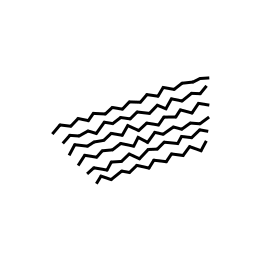 CCCCCCCCCCCCCC.CCCCCCCCCCCCCCC.CCCCCCCCCCCCCCCC.CCCCCCCCCCCCCCCCC.CCCCCCCCCCCCCCCCCC.CCCCCCCCCCCCCCCCCCC